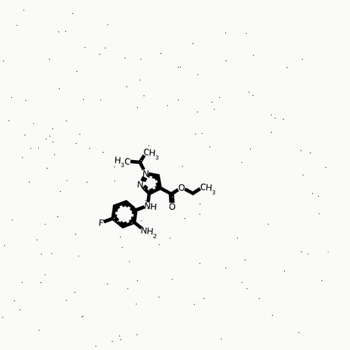 CCOC(=O)c1cn(C(C)C)nc1Nc1ccc(F)cc1N